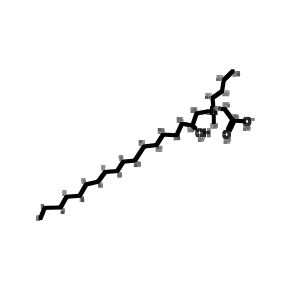 CCCCCCCCCCCCCCCCC(O)C[N+](C)(CCCC)CC(=O)[O-]